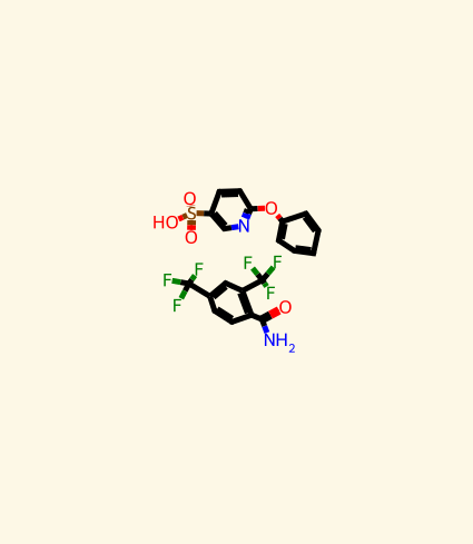 NC(=O)c1ccc(C(F)(F)F)cc1C(F)(F)F.O=S(=O)(O)c1ccc(Oc2ccccc2)nc1